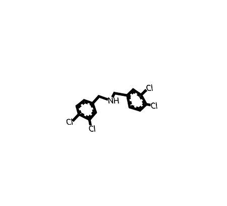 Clc1ccc(CNCc2ccc(Cl)c(Cl)c2)cc1Cl